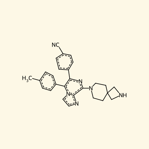 Cc1ccc(-c2c(-c3ccc(C#N)cc3)nc(N3CCC4(CC3)CNC4)c3nccn23)cc1